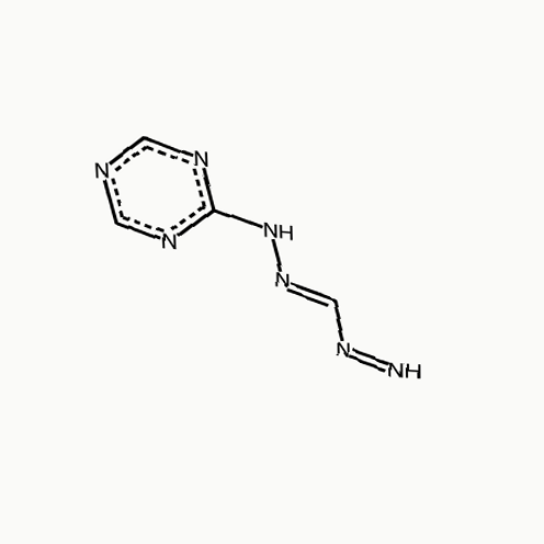 N=NC=NNc1ncncn1